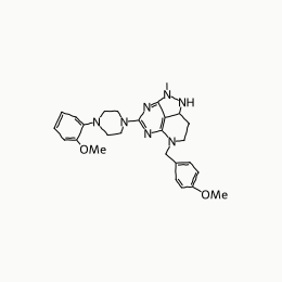 COc1ccc(CN2CCC3NN(C)c4nc(N5CCN(c6ccccc6OC)CC5)nc2c43)cc1